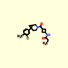 CCC(=O)NC1CC(C(=O)N2CCC3(c4ccc(C)c(Cl)c4)CC3C2)C1